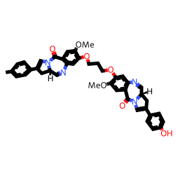 COc1cc2c(cc1OCCCOc1cc3c(cc1OC)C(=O)N1C=C(c4ccc(O)cc4)C[C@H]1C=N3)N=C[C@@H]1CC(c3ccc(C)cc3)=CN1C2=O